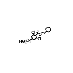 O=C(OCCC1CCCCC1)c1c(Cl)cc(SOOO)cc1Cl